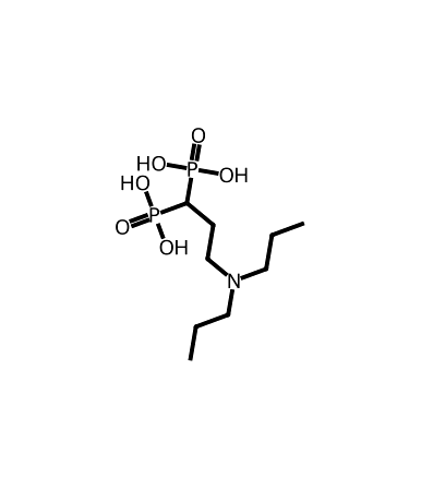 CCCN(CCC)CCC(P(=O)(O)O)P(=O)(O)O